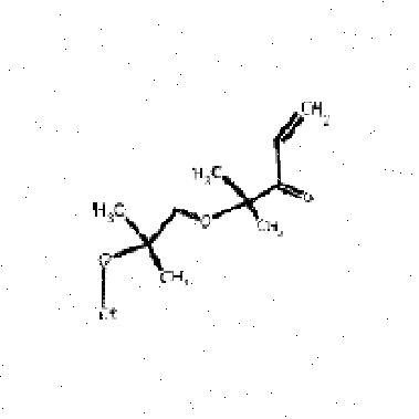 C=CC(=O)C(C)(C)OCC(C)(C)OCC